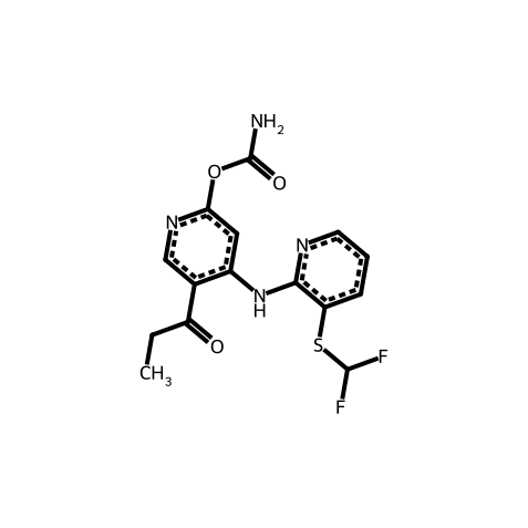 CCC(=O)c1cnc(OC(N)=O)cc1Nc1ncccc1SC(F)F